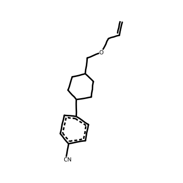 C=CCOCC1CCC(c2ccc(C#N)cc2)CC1